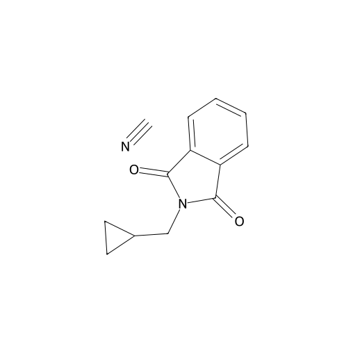 C#N.O=C1c2ccccc2C(=O)N1CC1CC1